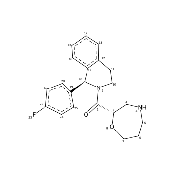 O=C([C@@H]1CNCCCO1)N1CCc2ccccc2[C@@H]1c1ccc(F)cc1